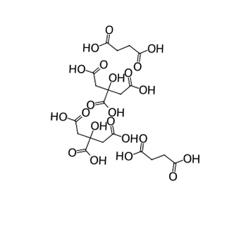 O=C(O)CC(O)(CC(=O)O)C(=O)O.O=C(O)CC(O)(CC(=O)O)C(=O)O.O=C(O)CCC(=O)O.O=C(O)CCC(=O)O